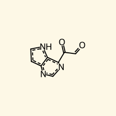 O=CC(=O)c1ncnc2cc[nH]c12